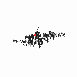 CN[C@@H](C)C(=O)NC(C(=O)N1C[C@@H](F)C[C@H]1Cc1c(-c2nc3cc(F)ccc3n2C[C@@H]2[C@H]3C[C@H]3CN2C(=O)C(NC(=O)[C@H](C)NC)C(C)C)[nH]c2cc(F)ccc12)C(C)C